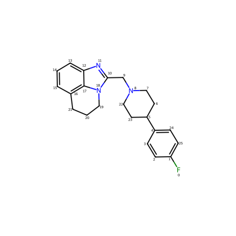 Fc1ccc(C2CCN(Cc3nc4cccc5c4n3CCC5)CC2)cc1